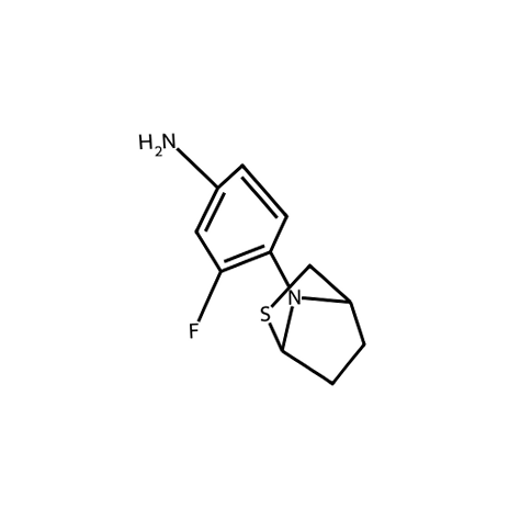 Nc1ccc(N2C3CCC2SC3)c(F)c1